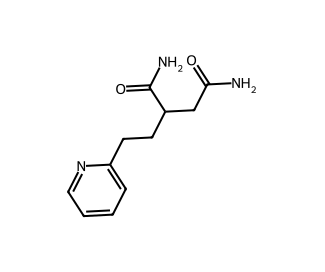 NC(=O)CC(CCc1ccccn1)C(N)=O